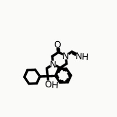 N=CN1CCN(CC(O)(c2ccccc2)C2CCCCC2)CC1=O